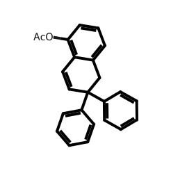 CC(=O)Oc1cccc2c1C=CC(c1ccccc1)(c1ccccc1)C2